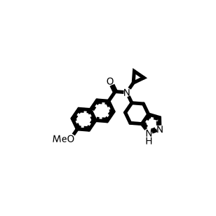 COc1ccc2cc(C(=O)N(C3CC3)C3CCc4[nH]ncc4C3)ccc2c1